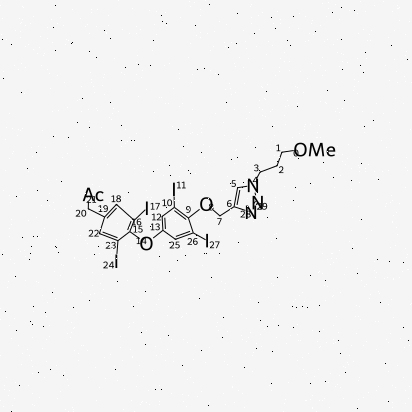 COCCCn1cc(COc2c(I)cc(Oc3c(I)cc(CC(C)=O)cc3I)cc2I)nn1